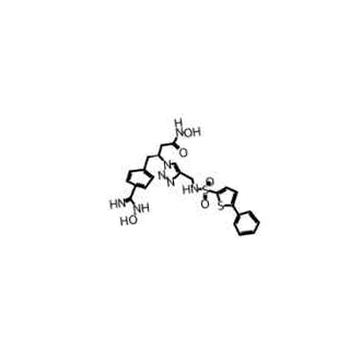 N=C(NO)c1ccc(C[C@@H](CC(=O)NO)n2cc(CNS(=O)(=O)c3ccc(-c4ccccc4)s3)nn2)cc1